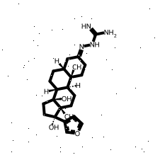 C[C@]12CC/C(=N\NC(=N)N)C[C@H]1CC[C@@H]1[C@@H]2CC[C@]2(C)[C@@](O)(c3ccoc3)CC[C@]12O